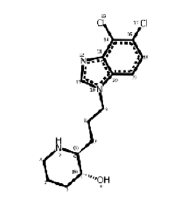 O[C@@H]1CCCN[C@H]1CCCn1cnc2c(Cl)c(Cl)ccc21